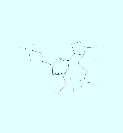 CCCOc1cc(CO[Si](C)(C)C(C)(C)C)cc([C@H]2CCN(C(=O)O)[C@]2(CO[Si](C)(C)C(C)(C)C)C(C)(C)C)c1